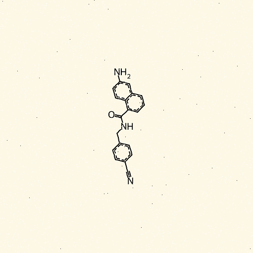 N#Cc1ccc(CNC(=O)c2cccc3cc(N)ccc23)cc1